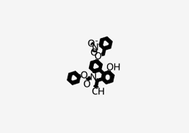 C#CC1N(C(=O)Oc2ccccc2)c2ccc(OCc3ccccc3[N+](=O)[O-])cc2C23OC12CCCC3O